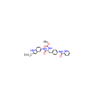 CCOC(=O)c1cc2cc(NC(=O)[C@H](Cc3ccc(NC(=O)c4ccccn4)cc3)NC(=O)OC(C)(C)C)ccc2[nH]1